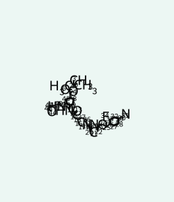 CC(C)(C)OC(=O)c1ccc(NC(=O)CC2CCN(c3cccc(OCc4ccc(C#N)cc4F)n3)CC2)c(NC[C@@H]2CCO2)c1